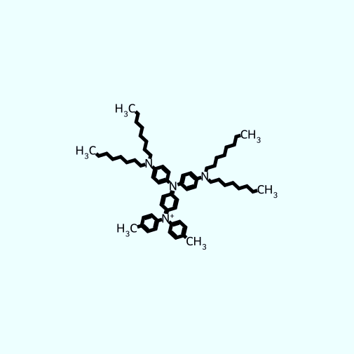 CCCCCCCCN(CCCCCCCC)c1ccc([N+](=C2C=CC(=[N+](c3ccc(C)cc3)c3ccc(C)cc3)C=C2)c2ccc(N(CCCCCCCC)CCCCCCCC)cc2)cc1